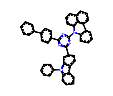 c1ccc(-c2ccc(-c3nc(-c4ccc5c6ccccc6n(-c6ccccc6)c5c4)nc(N4c5ccccc5-c5cccc6cccc4c56)n3)cc2)cc1